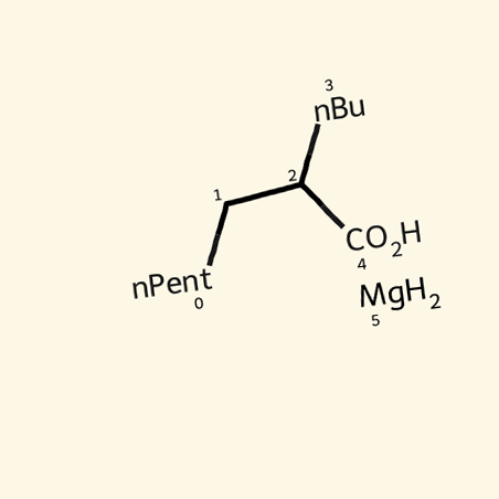 CCCCCCC(CCCC)C(=O)O.[MgH2]